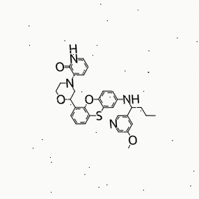 CCCC(Nc1ccc2c(c1)Sc1cccc(C3CN(c4ccc[nH]c4=O)CCO3)c1O2)c1cncc(OC)c1